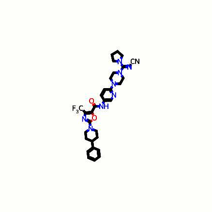 N#C/N=C(\N1CCCC1)N1CCN(c2ccc(NC(=O)c3oc(N4CCC(c5ccccc5)CC4)nc3C(F)(F)F)cn2)CC1